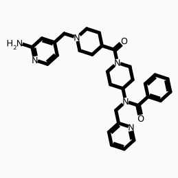 Nc1cc(CN2CCC(C(=O)N3CCC(N(Cc4ccccn4)C(=O)c4ccccc4)CC3)CC2)ccn1